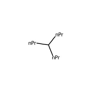 CCCC(CCC)CCC